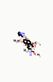 COCC(=N)[C@H]1OC(=O)[C@H](COC)[C@H]2C=C[C@H]3[C@H]4O[C@]2(/C(C)=C/[C@H]1C)[C@@H]3[C@H](O)[C@@H](COC)[C@H]4OC(=O)c1ccc[nH]1